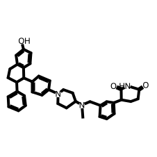 CN(Cc1cccc(C2CCC(=O)NC2=O)c1)C1CCN(c2ccc(C3c4ccc(O)cc4CCC3c3ccccc3)cc2)CC1